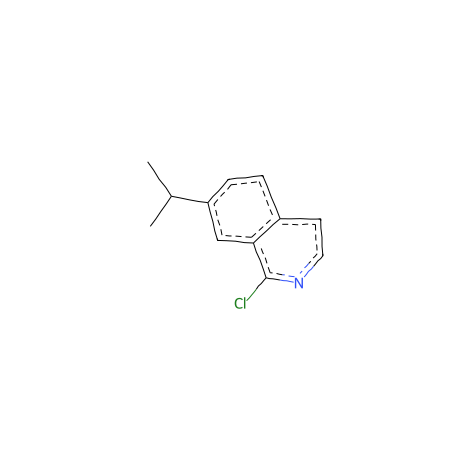 CC(C)c1ccc2ccnc(Cl)c2c1